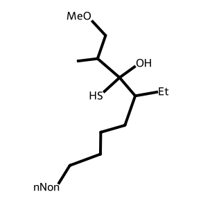 CCCCCCCCCCCCCC(CC)C(O)(S)C(C)COC